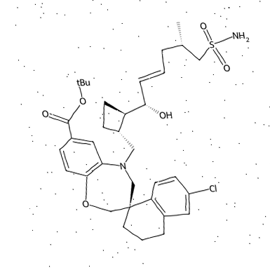 C[C@@H](C/C=C/[C@H](O)[C@@H]1CC[C@H]1CN1C[C@@]2(CCCc3cc(Cl)ccc32)COc2ccc(C(=O)OC(C)(C)C)cc21)CS(N)(=O)=O